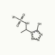 CC(NS(=O)(=O)C(C)C)n1nnnc1S